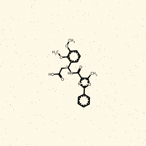 COc1cccc([C@H](CC(=O)O)NC(=O)c2nc(-c3ccccc3)oc2C)c1OC